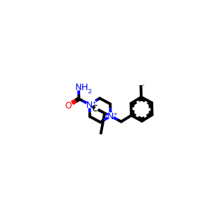 [CH2]c1cccc(C[N+]23CC[N+](C(N)=O)(CC2)CC3C)c1